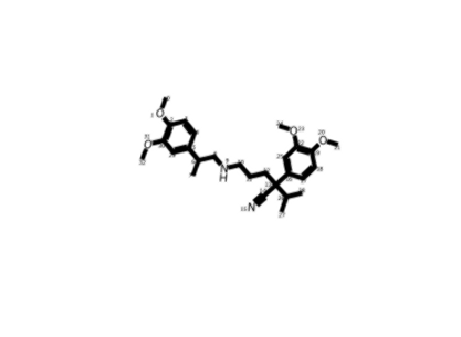 COc1ccc(C(C)CNCCCC(C#N)(c2ccc(OC)c(OC)c2)C(C)C)cc1OC